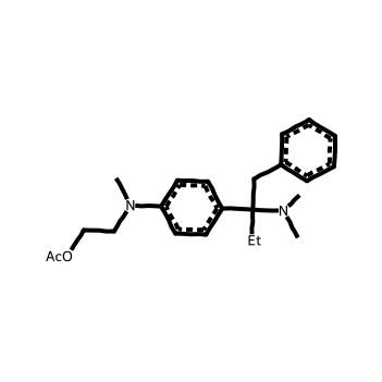 CCC(Cc1ccccc1)(c1ccc(N(C)CCOC(C)=O)cc1)N(C)C